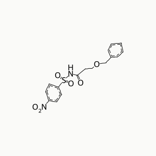 O=C(CCOCc1ccccc1)NS(=O)(=O)c1ccc([N+](=O)[O-])cc1